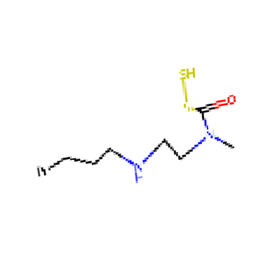 CC(C)CCCNCCN(C)C(=O)SS